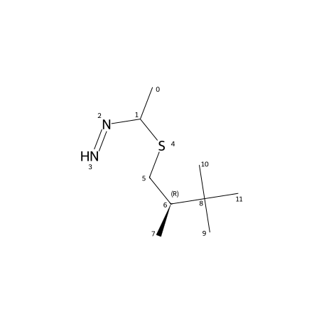 CC(N=N)SC[C@H](C)C(C)(C)C